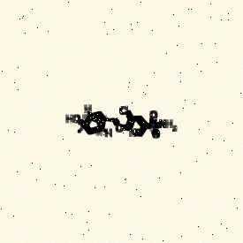 C[C@@]1(O)C[C@H]2C[C@@H]1C[C@H]2COc1ncc(S(N)(=O)=O)cc1Cl